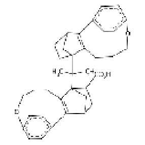 [CH]C(C)(C12CCC(C1)C1=C2CCCOc2ccc1cc2)C12CC(CC1C(=O)O)C1=C2CCCOc2ccc1cc2